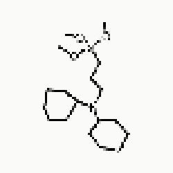 CO[Si](CCCN(C1CCCCC1)C1CCCCC1)(OC)OC